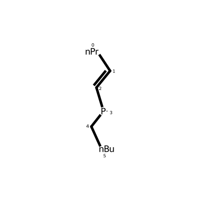 CCCC=C[P]CCCCC